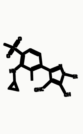 CCn1nc(-c2ccc(S(C)(=O)=O)c(NC3CC3)c2C)c(C=O)c1O